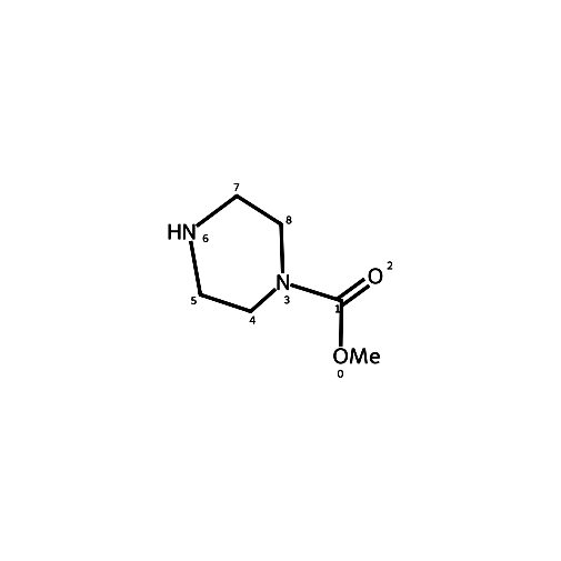 COC(=O)N1CCNCC1